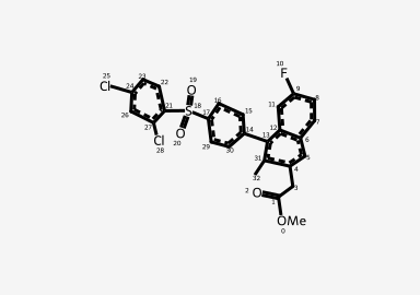 COC(=O)Cc1cc2ccc(F)cc2c(-c2ccc(S(=O)(=O)c3ccc(Cl)cc3Cl)cc2)c1C